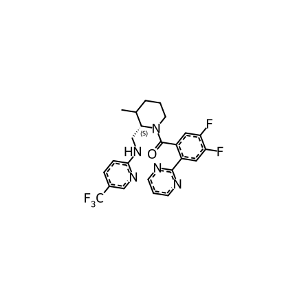 CC1CCCN(C(=O)c2cc(F)c(F)cc2-c2ncccn2)[C@@H]1CNc1ccc(C(F)(F)F)cn1